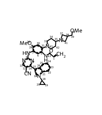 C=CC(=O)Nc1cc(Nc2ncc(C#N)c(-c3cn(C4CC4)c4ccccc34)n2)c(OC)cc1N1CCC(N2CC(COC)C2)CC1